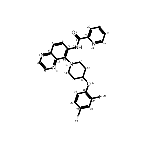 O=C(Nc1ccc2nccnc2c1N1CCC(Oc2ccc(F)cc2F)CC1)c1ccccn1